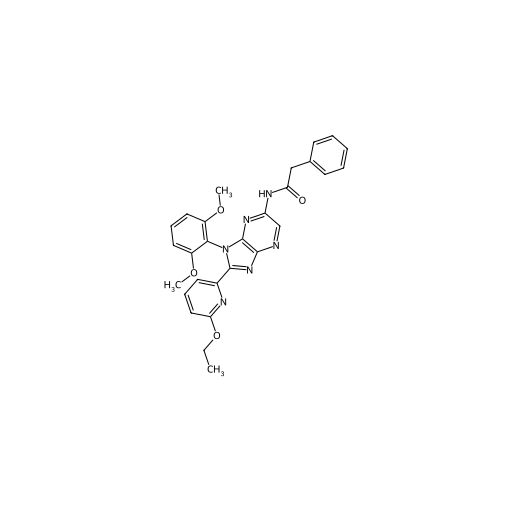 CCOc1cccc(-c2nc3ncc(NC(=O)Cc4ccccc4)nc3n2-c2c(OC)cccc2OC)n1